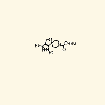 CCc1nn(CC)c2c1COC21CCN(C(=O)OC(C)(C)C)CC1